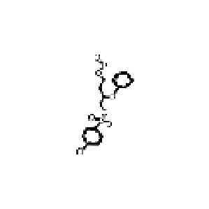 O=POCCC(COS(=O)(=O)c1ccc(Cl)cc1)Oc1ccccc1